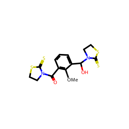 COc1c(C(=O)N2CCSC2=S)cccc1C(O)N1CCSC1=S